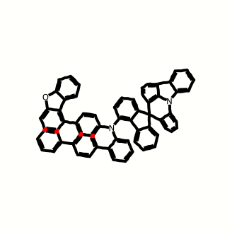 c1ccc(-c2ccc(-c3ccccc3N(c3ccc(-c4cccc5oc6ccccc6c45)cc3)c3cccc4c3-c3ccccc3C43c4ccccc4-n4c5ccccc5c5cccc3c54)cc2)cc1